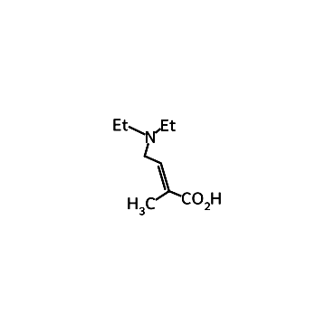 CCN(CC)C/C=C(\C)C(=O)O